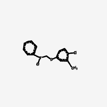 Cc1cc(OC[S+]([O-])c2ccccc2)ccc1Cl